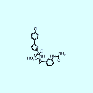 NC(=O)Nc1cccc(C2CC2(NS(=O)(=O)c2ccc(-c3ccc(Cl)cc3)s2)C(=O)O)c1